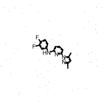 Cc1cc(C)n(-c2cccc(Nc3ccc(F)c(F)c3)n2)n1